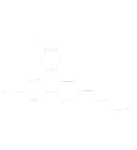 COCCCCc1cnc(-c2ccc(OC)cc2)c(-c2ccc(C(=O)O)cc2)n1